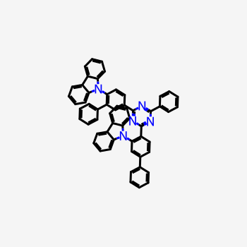 c1ccc(-c2ccc(-c3nc(-c4ccccc4)nc(-c4ccc(-n5c6ccccc6c6ccccc65)c(-c5ccccc5)c4)n3)c(-n3c4ccccc4c4ccccc43)c2)cc1